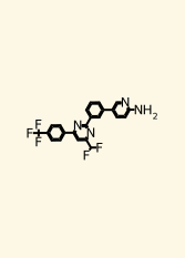 Nc1ccc(-c2cccc(-c3nc(-c4ccc(C(F)(F)F)cc4)cc(C(F)F)n3)c2)cn1